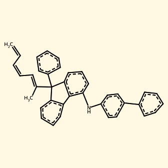 C=C/C=C\C=C(/C)C1(c2ccccc2)c2ccccc2-c2c(Nc3ccc(-c4ccccc4)cc3)cccc21